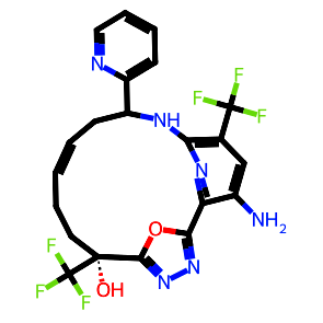 Nc1cc(C(F)(F)F)c2nc1-c1nnc(o1)[C@@](O)(C(F)(F)F)CCC=CCC(c1ccccn1)N2